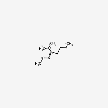 CCCC/C(=N/OC)C(C)C